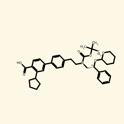 CC(C)(C)OC(=O)N(CCc1ccc(-c2ccc(C(=O)O)c(C3CCCC3)c2)cc1)C[C@H](OC1CCCCO1)c1ccccc1